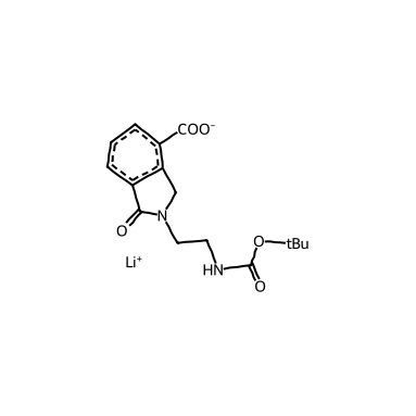 CC(C)(C)OC(=O)NCCN1Cc2c(C(=O)[O-])cccc2C1=O.[Li+]